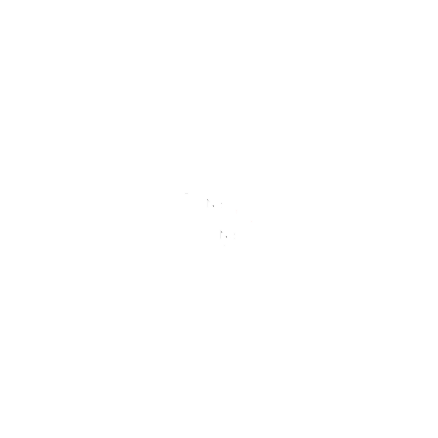 O.[K].[Na].[Na]